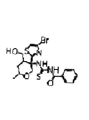 C[C@H]1CC(CO)C(NC(=S)NC(=O)c2ccccc2)(c2nc(Br)cs2)CO1